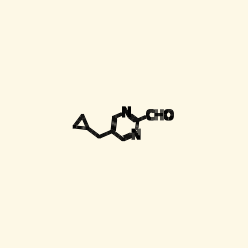 O=Cc1ncc(CC2CC2)cn1